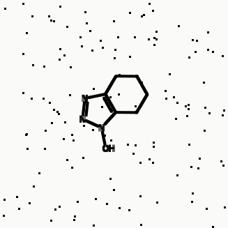 On1nnc2c1CCCC2